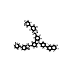 c1cncc(-c2ccc3sc(-c4ccc5c(c4)c4cc(-c6nc7ccc(-c8cccnc8)cc7s6)ccc4n5-c4ccc(-c5ccc6ccccc6c5)cc4)nc3c2)c1